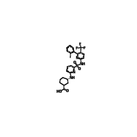 Cc1ccccc1-c1nc(NS(=O)(=O)c2cccc(N[C@H]3CCCC(C(=O)O)C3)n2)ccc1C(F)(F)F